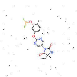 CC[C@@]1(C)NC(=O)N(c2cnc(Oc3ccc(C)c(OP(F)F)c3)nc2)C1=O